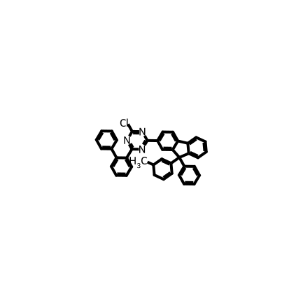 CC1C=C(C2(c3ccccc3)c3ccccc3-c3ccc(-c4nc(Cl)nc(-c5ccccc5-c5ccccc5)n4)cc32)C=CC1